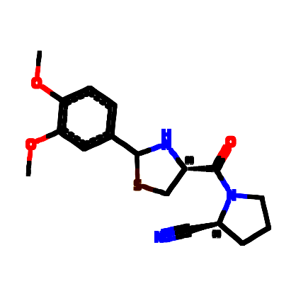 COc1ccc(C2N[C@H](C(=O)N3CCC[C@H]3C#N)CS2)cc1OC